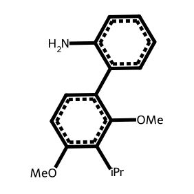 COc1ccc(-c2ccccc2N)c(OC)c1C(C)C